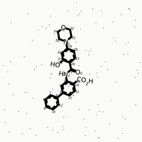 O=C(Nc1cc(-c2ccccc2)ccc1C(=O)O)c1ccc(N2CCOCC2)cc1O